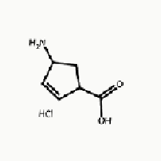 Cl.NC1C=CC(C(=O)O)C1